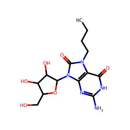 N#CCCCn1c(=O)n(C2OC(CO)C(O)C2O)c2nc(N)[nH]c(=O)c21